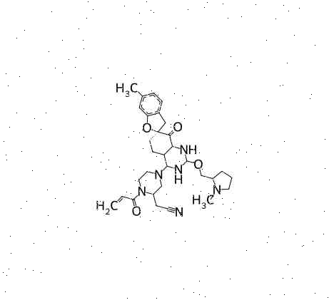 C=CC(=O)N1CCN(C2NC(OCC3CCCN3C)NC3C(=O)[C@]4(CCC32)Cc2ccc(C)cc2O4)CC1CC#N